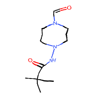 CC(C)(C)C(=O)NN1CCN(C=O)CC1